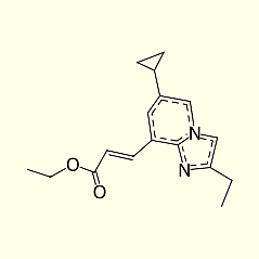 CCOC(=O)/C=C/c1cc(C2CC2)cn2cc(CC)nc12